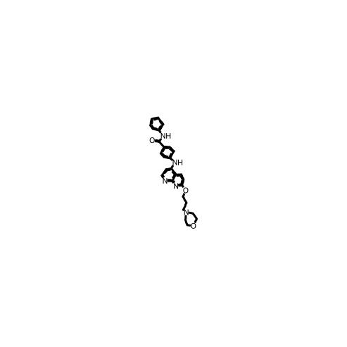 O=C(Nc1ccccc1)c1ccc(Nc2ccnc3nc(OCCCN4CCOCC4)ccc23)cc1